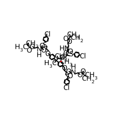 C=C(C)C(=O)OCCNC(=O)OC(COc1ccc(C(C)(c2ccc(OCC(CSc3ccc(Cl)cc3)OC(=O)NCCOC(=O)C(=C)C)cc2)C(C)[C@@H](C)OCC(CSc2ccc(Cl)cc2)OC(=O)NCCOC(=O)C(=C)C)cc1)CSc1ccc(Cl)cc1